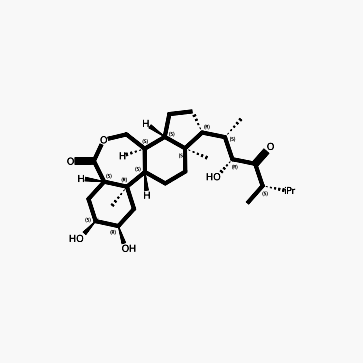 CC(C)[C@H](C)C(=O)[C@H](O)[C@@H](C)[C@H]1CC[C@H]2[C@@H]3COC(=O)[C@H]4C[C@H](O)[C@H](O)C[C@]4(C)[C@H]3CC[C@]12C